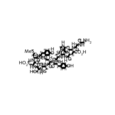 CSCC[C@H](NC(=O)[C@H](Cc1ccc(O)cc1)NC(=O)[C@H](CS)NC(=O)[C@H](Cc1c[nH]cn1)NC(=O)[C@H](CCC(=O)O)NC(=O)CNC(=O)CNC(=O)CN)C(=O)N[C@@H](CS)C(=O)N[C@@H](CO)C(=O)N[C@@H](CC(=O)O)C(=O)N[C@H](CCSC)C(=O)N[C@@H](Cc1ccc(O)cc1)C(=O)O